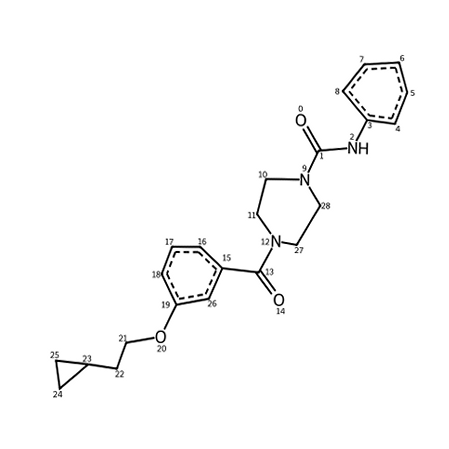 O=C(Nc1ccccc1)N1CCN(C(=O)c2cccc(OCCC3CC3)c2)CC1